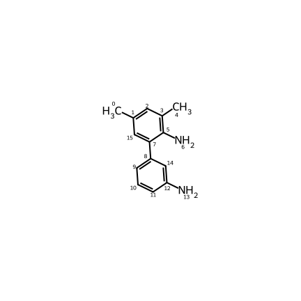 Cc1cc(C)c(N)c(-c2cccc(N)c2)c1